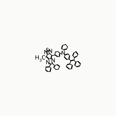 Cc1c2nsnc2c(C2=CC=C(N(C3=CCCC=C3)c3ccc(C(=C(c4ccccc4)c4ccccc4)c4ccccc4)cc3)CC2)c2nc(C3=CCCC=C3)c(-c3ccccc3)nc12